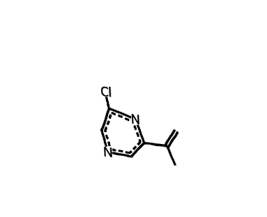 C=C(C)c1cncc(Cl)n1